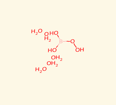 O.O.O.O.O.OOB(O)O